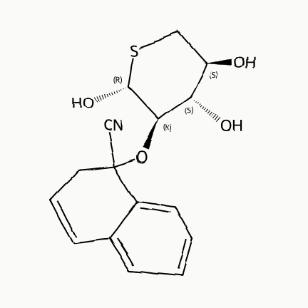 N#CC1(O[C@@H]2[C@@H](O)[C@H](O)CS[C@H]2O)CC=Cc2ccccc21